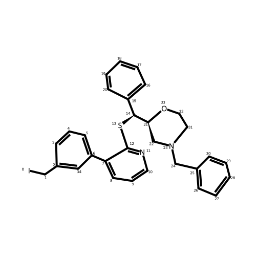 ICc1cccc(-c2cccnc2S[C@@H](c2ccccc2)[C@@H]2CN(Cc3ccccc3)CCO2)c1